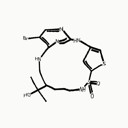 CC(C)(O)C1CCNS(=O)(=O)c2cc(cs2)Nc2ncc(Br)c(n2)NC1